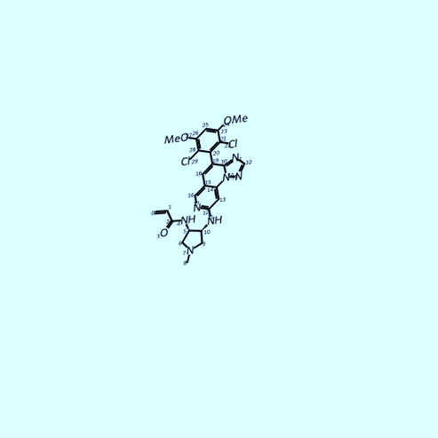 C=CC(=O)N[C@@H]1CN(C)C[C@@H]1Nc1cc2c(cn1)cc(-c1c(Cl)c(OC)cc(OC)c1Cl)c1ncnn12